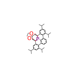 CC(C)c1cc(C(C)C)c(-c2cccc(-c3c(C(C)C)cc(C(C)C)cc3C(C)C)c2P2CCC3(CC2)OCCO3)c(C(C)C)c1